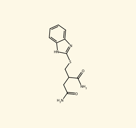 NC(=O)CC(CSc1nc2ccccc2[nH]1)C(N)=O